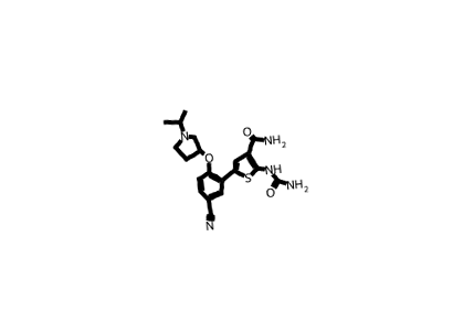 CC(C)N1CCC(Oc2ccc(C#N)cc2-c2cc(C(N)=O)c(NC(N)=O)s2)C1